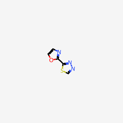 c1coc(-c2nncs2)n1